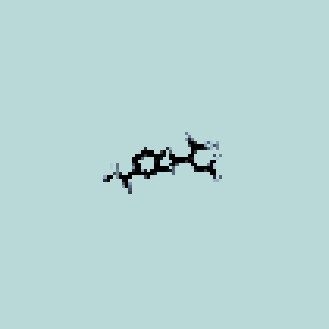 CNC(=O)c1ccc2sc(C(CC(=O)S)C(=O)O)nc2c1